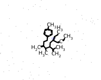 C=C(CCc1ccc(C)cc1)C(C)C(C/C(C=C=CC)=C/CC)C(=C)C